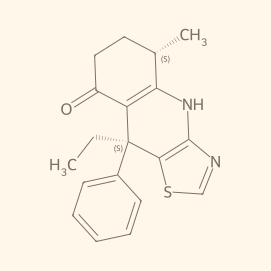 CC[C@]1(c2ccccc2)C2=C(Nc3ncsc31)[C@@H](C)CCC2=O